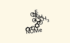 COc1ncccc1COc1ccc2oc(C)c(C(=O)NC3COCC3(F)F)c2c1